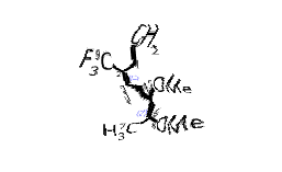 C=C/C(=C\C(OC)=C(/C)OC)C(F)(F)F